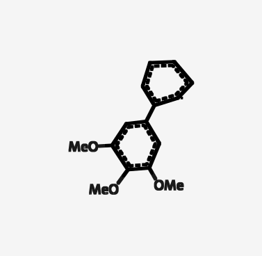 COc1cc(-c2[c]cccc2)cc(OC)c1OC